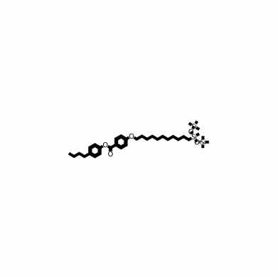 CCCCc1ccc(OC(=O)c2ccc(OCCCCCCCCCCC[Si](C)(O[Si](C)(C)C)O[Si](C)(C)C)cc2)cc1